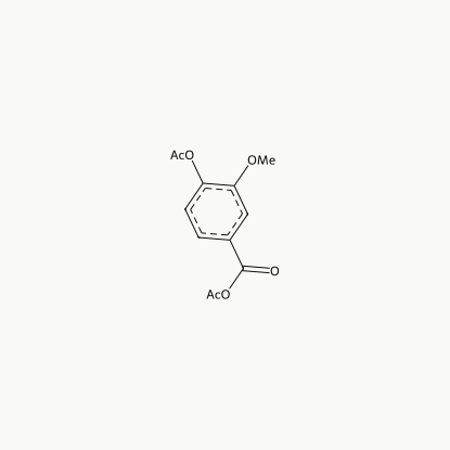 COc1cc(C(=O)OC(C)=O)ccc1OC(C)=O